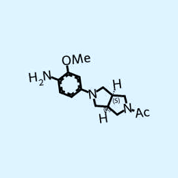 COc1cc(N2C[C@H]3CN(C(C)=O)C[C@H]3C2)ccc1N